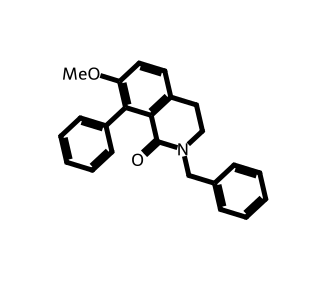 COc1ccc2c(c1-c1ccccc1)C(=O)N(Cc1ccccc1)CC2